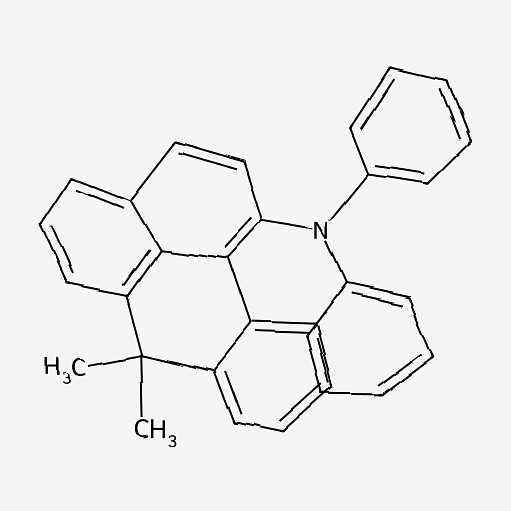 CC1(C)c2ccccc2-c2c(N(c3ccccc3)c3ccccc3)ccc3cccc1c23